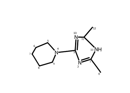 CC1=NC(N2CCCCC2)=NC(C)N1